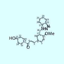 COc1ccc(C=CC(=O)c2ccc(O)cc2)cc1Cn1nnc2ccccc21